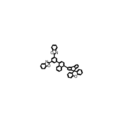 c1ccc2c(c1)Oc1ccccc1C21c2ccccc2-c2cc(-c3ccc(-c4cc(-c5nc6ccccc6o5)cc(-c5nc6ccccc6o5)c4)c4ccccc34)ccc21